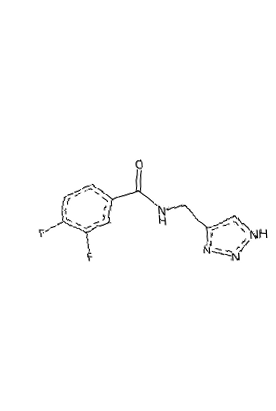 O=C(NCc1c[nH]nn1)c1ccc(F)c(F)c1